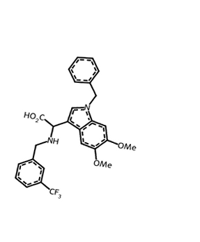 COc1cc2c(C(NCc3cccc(C(F)(F)F)c3)C(=O)O)cn(Cc3ccccc3)c2cc1OC